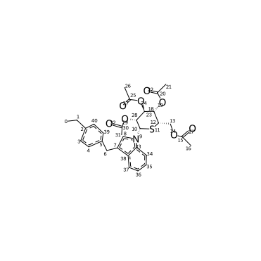 CCc1ccc(Cc2cn([C@H]3S[C@@H](COC(C)=O)[C@@H](OC(C)=O)[C@H](OC(C)=O)[C@H]3OC(C)=O)c3ccccc23)cc1